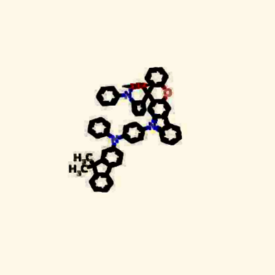 CC1(C)c2ccccc2-c2ccc(N(c3ccccc3)c3ccc(-n4c5ccccc5c5cc6c(cc54)C4(c5ccccc5O6)c5ccccc5N(c5ccccc5)c5ccccc54)cc3)cc21